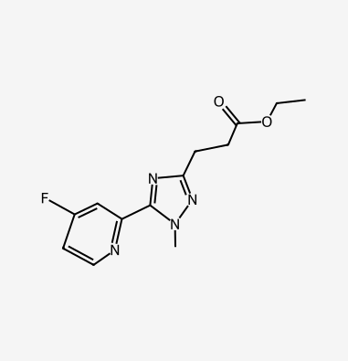 CCOC(=O)CCc1nc(-c2cc(F)ccn2)n(C)n1